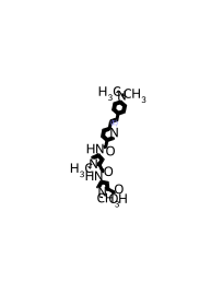 CN(C)c1ccc(/C=C/c2ccc(C(=O)Nc3cc(C(=O)Nc4cc(C(=O)O)n(C)c4)n(C)c3)cn2)cc1